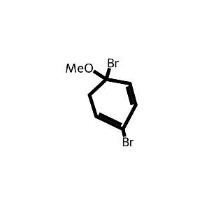 COC1(Br)C=CC(Br)=CC1